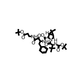 CC(C)(C)OC(=O)CCNC(=O)C(=O)C(Cc1ccccc1)NC(=O)[C@@H]1[C@@H]2C(CN1C(=O)[C@@H](NC(=O)OC(C)(C)C)C(C)(C)C)C2(C)C